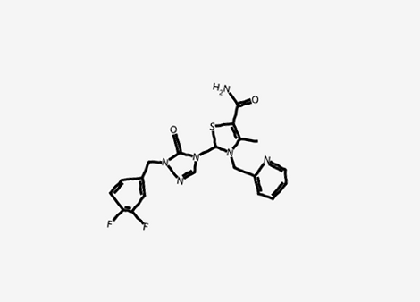 CC1=C(C(N)=O)SC(n2cnn(Cc3ccc(F)c(F)c3)c2=O)N1Cc1ccccn1